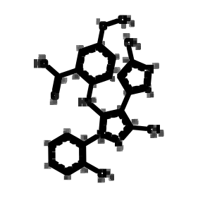 COc1ccc(Nc2c(-c3cc(C)ns3)c(C)nn2-c2ccccc2C)c(C(=O)O)c1